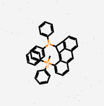 C[PH](c1ccccc1)(c1ccccc1)c1cccc2cc3cccc4c3c(c12)C4P(c1ccccc1)c1ccccc1